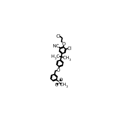 CC(C)(c1ccc(OCc2cccc(S(C)(=O)=O)c2)cc1)c1cc(Cl)c(OCCCl)c(C#N)c1